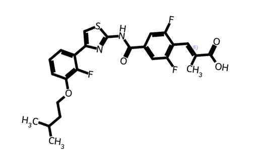 C/C(=C\c1c(F)cc(C(=O)Nc2nc(-c3cccc(OCCC(C)C)c3F)cs2)cc1F)C(=O)O